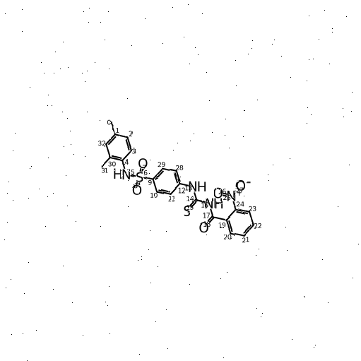 Cc1ccc(NS(=O)(=O)c2ccc(NC(=S)NC(=O)c3ccccc3[N+](=O)[O-])cc2)c(C)c1